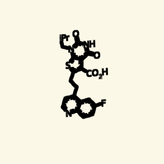 CC(C)Cn1c(=O)[nH]c(=O)c2c(C(=O)O)c(CCc3ccnc4ccc(F)cc34)sc21